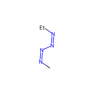 CC/N=N\N=N/C